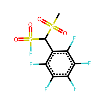 CS(=O)(=O)C(c1c(F)c(F)c(F)c(F)c1F)S(=O)(=O)F